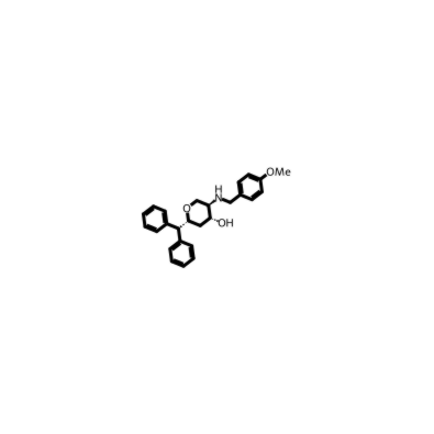 COc1ccc(CN[C@@H]2CO[C@@H](C(c3ccccc3)c3ccccc3)C[C@H]2O)cc1